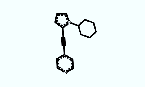 C(#Cc1cccn1C1CCCCC1)c1ccncc1